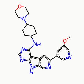 COc1cncc(-c2cc3c(cn2)[nH]c2ncnc(NC4CCC(N5CCOCC5)CC4)c23)c1